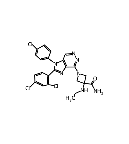 CCNC1(C(N)=O)CN(c2nncc3c2nc(-c2ccc(Cl)cc2Cl)n3-c2ccc(Cl)cc2)C1